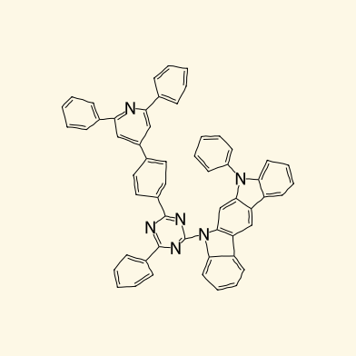 c1ccc(-c2cc(-c3ccc(-c4nc(-c5ccccc5)nc(-n5c6ccccc6c6cc7c8ccccc8n(-c8ccccc8)c7cc65)n4)cc3)cc(-c3ccccc3)n2)cc1